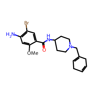 COc1cc(N)c(Br)cc1C(=O)NC1CCN(CC2=CCC=CC2)CC1